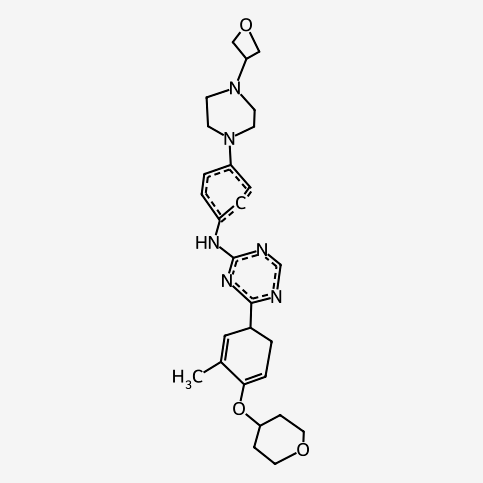 CC1=CC(c2ncnc(Nc3ccc(N4CCN(C5COC5)CC4)cc3)n2)CC=C1OC1CCOCC1